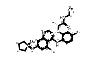 C[C@@H](Oc1cc(F)ccc1Nc1ncnc2cc(N=S3(=O)CCCC3)cc(F)c12)C(=O)NCC(F)(F)F